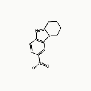 O=[N+]([O-])c1ccc2nc3n(c2c1)CCCC3